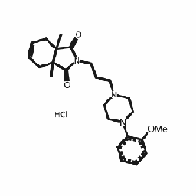 COc1ccccc1N1CCN(CCCN2C(=O)C3(C)CC=CCC3(C)C2=O)CC1.Cl